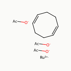 C1=CCCC=CCC1.CC(=O)[O-].CC(=O)[O-].CC(=O)[O-].[Ru+3]